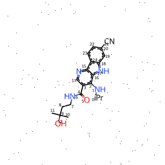 CC(C)Nc1c(C(=O)NCCC(C)(C)O)cnc2c1[nH]c1cc(C#N)ccc12